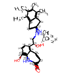 CC(=O)O.Cc1c(C)c(C)c2c(c1C)CC(NC[C@@H](O)c1ccc(O)c3[nH]c(=O)ccc13)C2